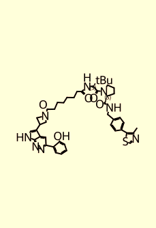 Cc1ncsc1-c1ccc(CNC(=O)[C@@H]2CCCN2C(=O)[C@@H](NC(=O)CCCCCCC(=O)N2CC(c3c[nH]c4nnc(-c5ccccc5O)cc34)C2)C(C)(C)C)cc1